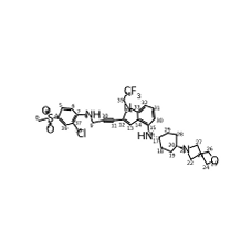 CS(=O)(=O)c1ccc(NCC#Cc2cc3c(N[C@H]4CC[C@H](N5CC6(COC6)C5)CC4)cccc3n2CC(F)(F)F)c(Cl)c1